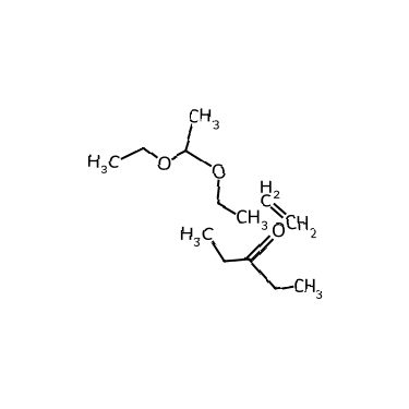 C=C.CCC(=O)CC.CCOC(C)OCC